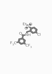 CCS(=O)(=O)c1ccc(Cl)cc1CNC(=O)c1cc(C(F)(F)F)cc(C(F)(F)F)c1